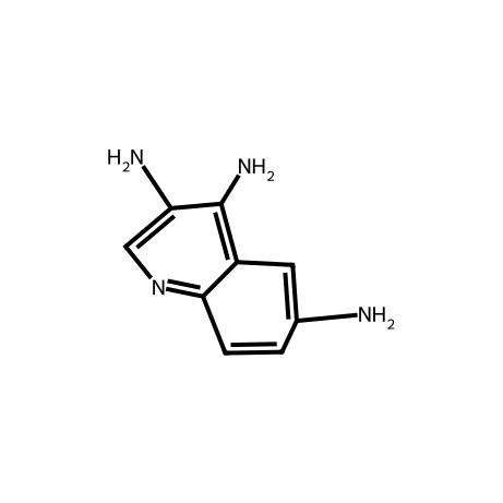 Nc1ccc2ncc(N)c(N)c2c1